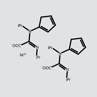 CC(C)N=C(C(=O)[O-])N(C1=CC=CC1)C(C)C.CC(C)N=C(C(=O)[O-])N(C1=CC=CC1)C(C)C.[Ni+2]